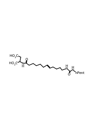 CCCCCNC(=O)NCCCC/C=C/CCCCCC(=O)NC(CC(=O)O)C(=O)O